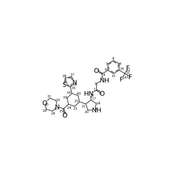 O=C(CNC(=O)c1cccc(C(F)(F)F)c1)N[C@H]1CNCC1C1CC(C(=O)N2CCOCC2)CC(c2nccs2)C1